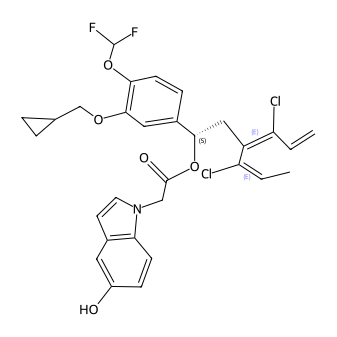 C=C/C(Cl)=C(C[C@H](OC(=O)Cn1ccc2cc(O)ccc21)c1ccc(OC(F)F)c(OCC2CC2)c1)\C(Cl)=C/C